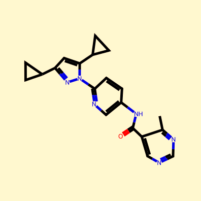 Cc1ncncc1C(=O)Nc1ccc(-n2nc(C3CC3)cc2C2CC2)nc1